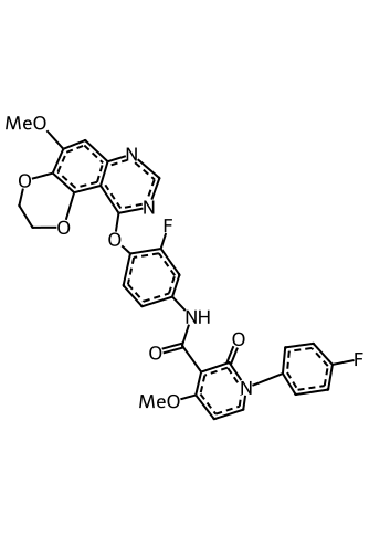 COc1cc2ncnc(Oc3ccc(NC(=O)c4c(OC)ccn(-c5ccc(F)cc5)c4=O)cc3F)c2c2c1OCCO2